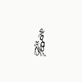 CC(C)(C)OC(=O)NC1(C(=O)N[C@H](C#N)Cc2ccc(-c3ccc(S(=O)(=O)N4CCC4)cc3)cc2)CCOCC1